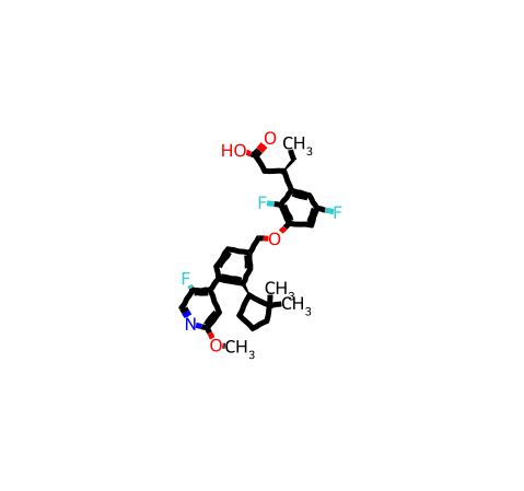 CC[C@H](CC(=O)O)c1cc(F)cc(OCc2ccc(-c3cc(OC)ncc3F)c([C@@H]3CCCC3(C)C)c2)c1F